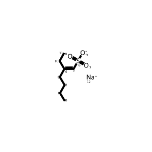 CCCCC(=CS(=O)(=O)[O-])CC.[Na+]